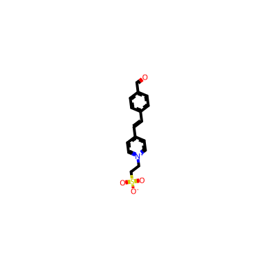 O=Cc1ccc(C=Cc2cc[n+](CCS(=O)(=O)[O-])cc2)cc1